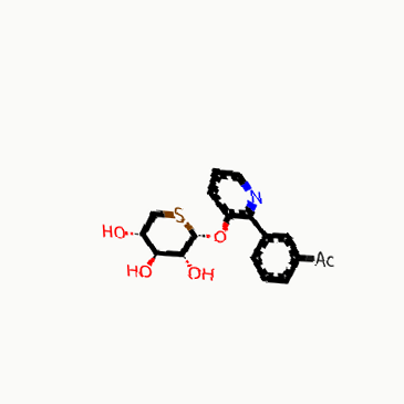 CC(=O)c1cccc(-c2ncccc2O[C@H]2SC[C@@H](O)[C@H](O)[C@H]2O)c1